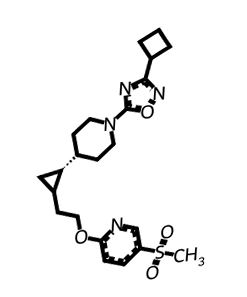 CS(=O)(=O)c1ccc(OCCC2C[C@@H]2C2CCN(c3nc(C4CCC4)no3)CC2)nc1